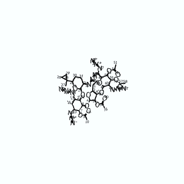 CCC1OC(OC2C(OC(C)=O)C(N=[N+]=[N-])CC(N=[N+]=[N-])C2OC2OC(C3(C)CC3)CCC2N=[N+]=[N-])C(OC(C)=O)C1OC1OC(CN=[N+]=[N-])C(OC(C)=O)C(OC(C)=O)C1N=[N+]=[N-]